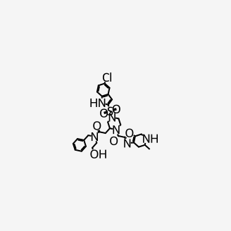 CC1Cc2nc(C(=O)N3CCN(S(=O)(=O)c4cc5cc(Cl)ccc5[nH]4)CC3CC(=O)N(CCO)Cc3ccccc3)oc2CN1